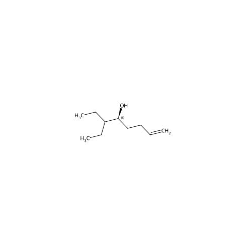 C=CCC[C@H](O)C(CC)CC